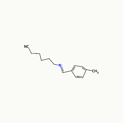 Cc1ccc(C=NCCCCCC#N)cc1